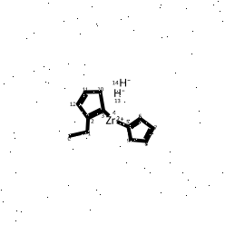 CCC1=[C]([Zr+2][C]2=CC=CC2)CC=C1.[H-].[H-]